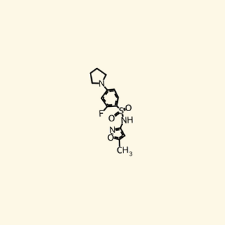 Cc1cc(NS(=O)(=O)c2ccc(N3CCCC3)cc2F)no1